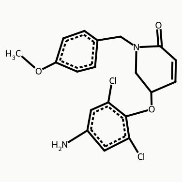 COc1ccc(CN2CC(Oc3c(Cl)cc(N)cc3Cl)C=CC2=O)cc1